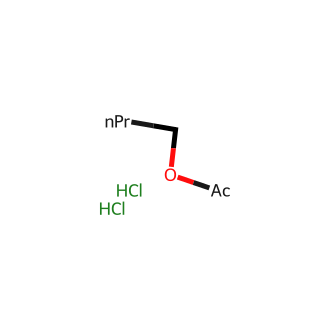 CCCCOC(C)=O.Cl.Cl